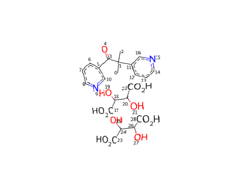 CC(C)(C(=O)c1cccnc1)c1cccnc1.O=C(O)C(O)C(O)C(=O)O.O=C(O)C(O)C(O)C(=O)O